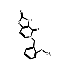 CSc1ccccc1Cn1ccc2oc(=O)[nH]c2c1=O